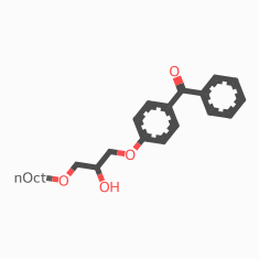 CCCCCCCCOCC(O)COc1ccc(C(=O)c2ccccc2)cc1